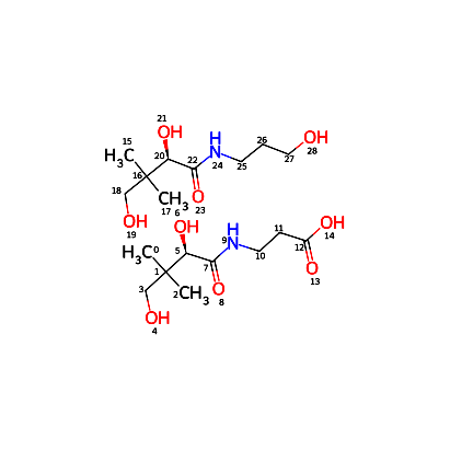 CC(C)(CO)[C@@H](O)C(=O)NCCC(=O)O.CC(C)(CO)[C@@H](O)C(=O)NCCCO